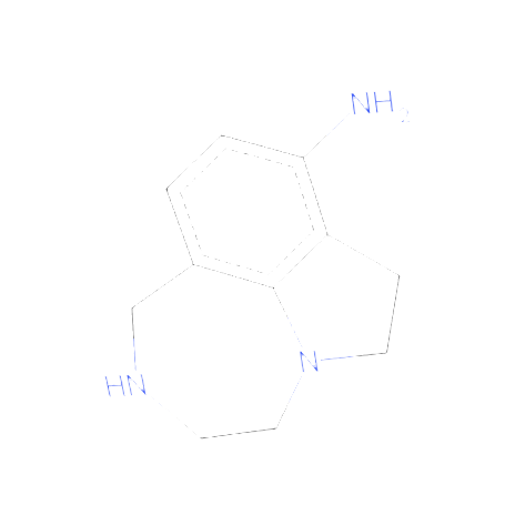 Nc1ccc2c3c1CCN3CCNC2